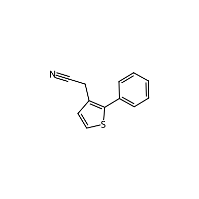 N#CCc1ccsc1-c1ccccc1